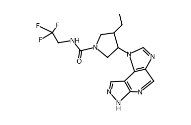 CCC1CN(C(=O)NCC(F)(F)F)CC1n1cnc2cnc3[nH]ncc3c21